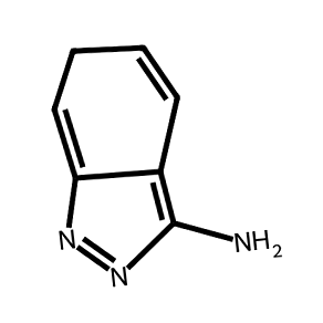 NC1=C2C=CCC=C2N=N1